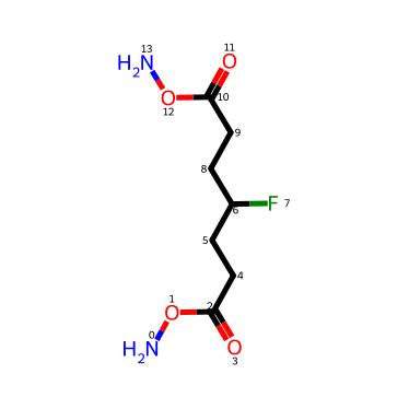 NOC(=O)CCC(F)CCC(=O)ON